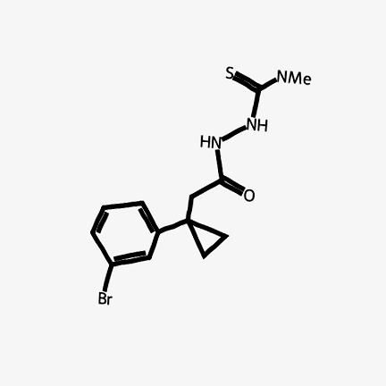 CNC(=S)NNC(=O)CC1(c2cccc(Br)c2)CC1